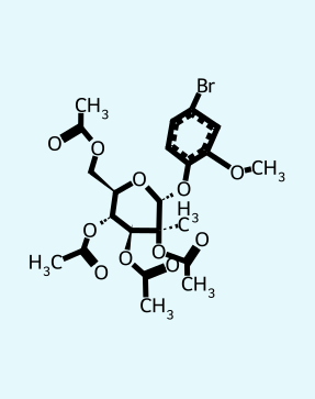 COc1cc(Br)ccc1O[C@H]1O[C@H](COC(C)=O)[C@@H](OC(C)=O)[C@H](OC(C)=O)[C@]1(C)OC(C)=O